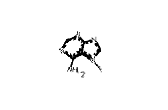 Nc1ncnc2ncn(F)c12